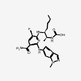 CCCC[C@H](Nc1nc(Nc2ccc3cnn(C)c3c2)c(C(N)=O)cc1F)[C@H](C)NC(=O)O